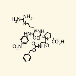 CC(=O)O.NC(N)=NCCC[C@H](NC(=O)[C@@H]1CCCN1C(=O)CNC(=O)OCc1ccccc1)C(=O)Nc1ccc([N+](=O)[O-])cc1